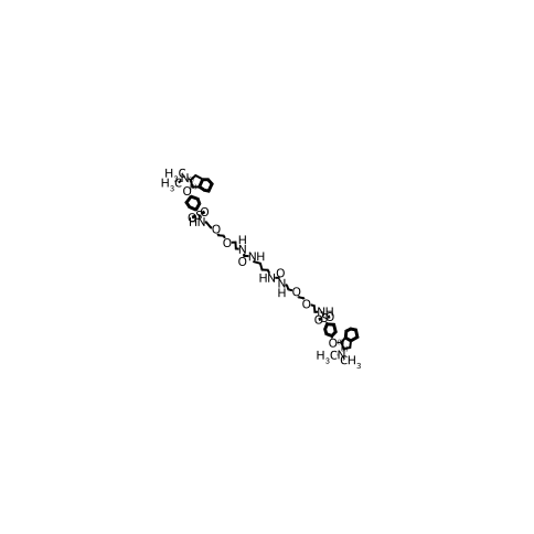 CN(C)[C@H]1Cc2ccccc2[C@@H]1Oc1ccc(S(=O)(=O)NCCOCCOCCNC(=O)NCCCCNC(=O)NCCOCCOCCNS(=O)(=O)c2ccc(O[C@H]3c4ccccc4C[C@@H]3N(C)C)cc2)cc1